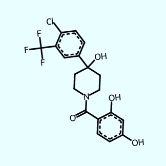 O=C(c1ccc(O)cc1O)N1CCC(O)(c2ccc(Cl)c(C(F)(F)F)c2)CC1